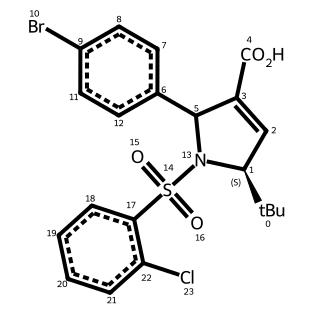 CC(C)(C)[C@@H]1C=C(C(=O)O)C(c2ccc(Br)cc2)N1S(=O)(=O)c1ccccc1Cl